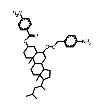 CC(C)CC(C)C1CCC2C3CC(OOCc4ccc(N)cc4)C4CC(OC(=O)c5ccc(N)cc5)CCC4(C)C3CCC12C